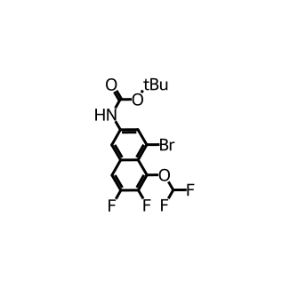 CC(C)(C)OC(=O)Nc1cc(Br)c2c(OC(F)F)c(F)c(F)cc2c1